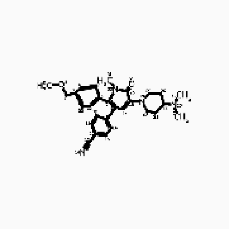 COCc1ccc(-c2c(-c3ccc(C#N)cc3)cc(N3CCC(N(C)C)CC3)c(=O)n2C)cc1